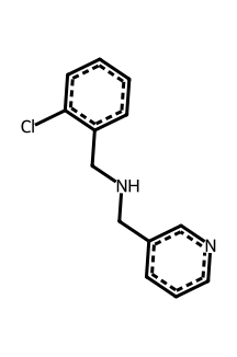 Clc1ccccc1CNCc1cccnc1